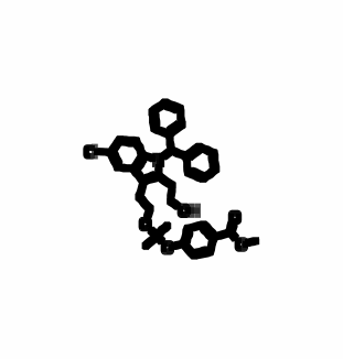 COC(=O)c1ccc(OC(C)(C)OCCc2c(CCO)n(C(c3ccccc3)c3ccccc3)c3ccc(Cl)cc23)cc1